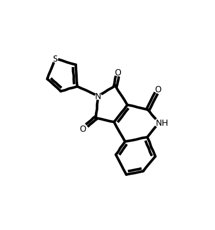 O=C1c2c(c3ccccc3[nH]c2=O)C(=O)N1c1ccsc1